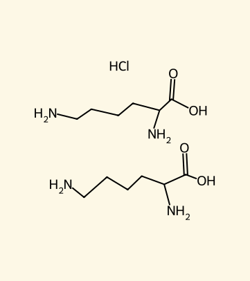 Cl.NCCCCC(N)C(=O)O.NCCCCC(N)C(=O)O